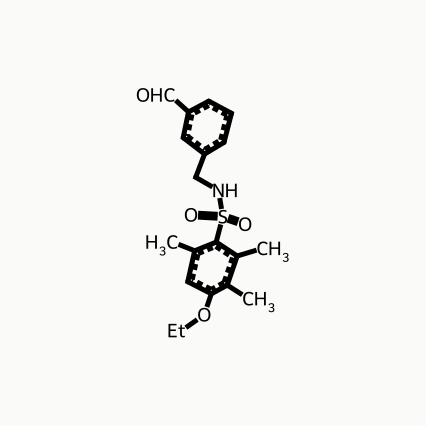 CCOc1cc(C)c(S(=O)(=O)NCc2cccc(C=O)c2)c(C)c1C